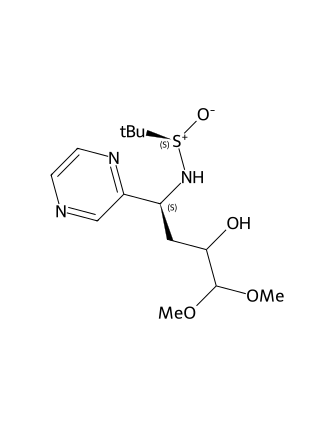 COC(OC)C(O)C[C@H](N[S@+]([O-])C(C)(C)C)c1cnccn1